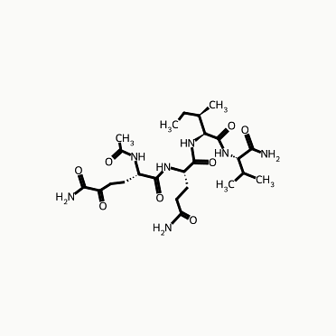 CC[C@@H](C)[C@H](NC(=O)[C@H](CCC(N)=O)NC(=O)[C@H](CCC(=O)C(N)=O)NC(C)=O)C(=O)N[C@H](C(N)=O)C(C)C